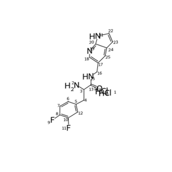 Cl.Cl.NC(Cc1ccc(F)c(F)c1)C(=O)NCc1cnc2[nH]ccc2c1